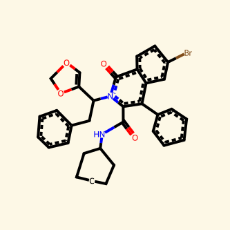 O=C(NC1CCCCC1)c1c(-c2ccccc2)c2cc(Br)ccc2c(=O)n1C(Cc1ccccc1)C1=COCO1